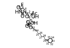 CC(=O)[C@]1(O)C[C@H](n2cc(F)c(=O)[nH]c2=O)O[C@@H]1COP(=O)(O)OCCCCCCCCc1ccccc1